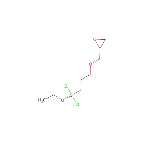 CCO[Si](Cl)(Cl)CCCOCC1CO1